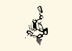 Fc1cc(OCCN2CCCC2)cc(-c2cccc3[nH]c(-c4n[nH]c5cnc(-c6cncc(CN7CCCC7)c6)cc45)cc23)c1